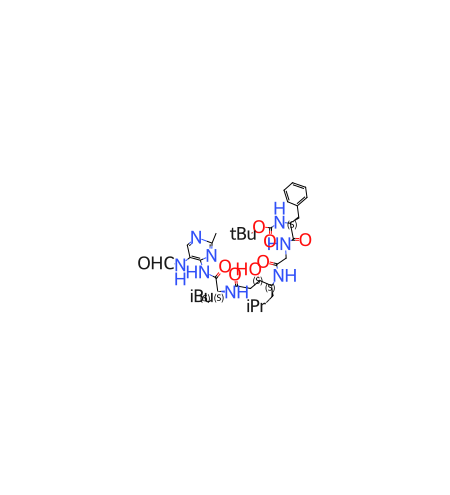 CC[C@H](C)[C@H](NC(=O)C[C@H](O)[C@H](CC(C)C)NC(=O)CNC(=O)[C@H](Cc1ccccc1)NC(=O)OC(C)(C)C)C(=O)Nc1nc(C)ncc1NC=O